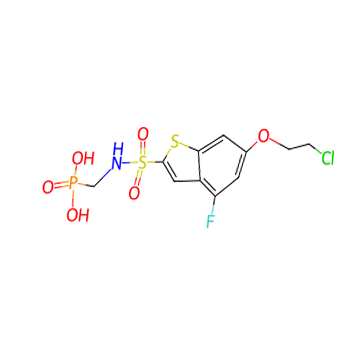 O=P(O)(O)CNS(=O)(=O)c1cc2c(F)cc(OCCCl)cc2s1